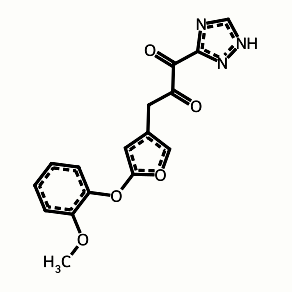 COc1ccccc1Oc1cc(CC(=O)C(=O)c2nc[nH]n2)co1